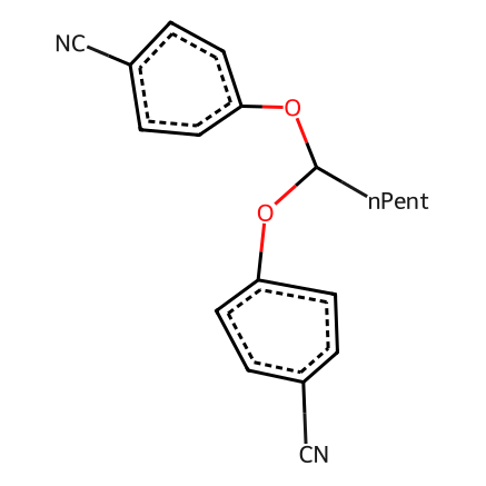 CCCCCC(Oc1ccc(C#N)cc1)Oc1ccc(C#N)cc1